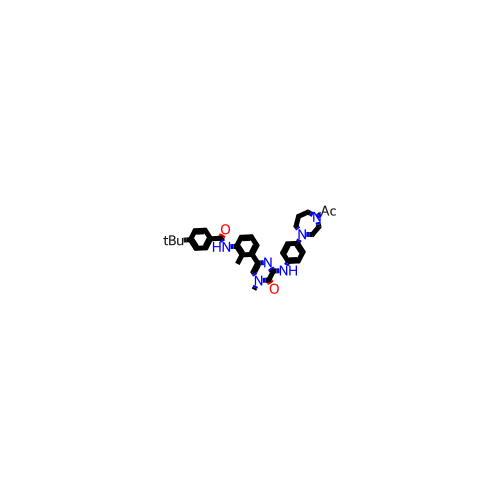 CC(=O)N1CCCN(c2ccc(Nc3nc(-c4cccc(NC(=O)c5ccc(C(C)(C)C)cc5)c4C)cn(C)c3=O)cc2)CC1